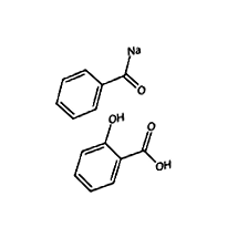 O=C(O)c1ccccc1O.O=[C]([Na])c1ccccc1